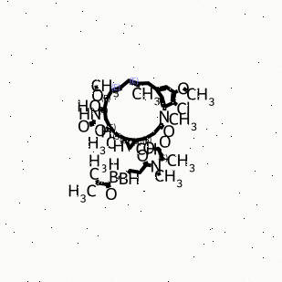 COc1cc2cc(c1Cl)N(C)C(=O)C[C@H](OC(=O)[C@H](C)N(C)C(=O)CCBBC(=O)C(C)C)[C@@]1(C)C[C@H]1[C@H](C)[C@@H]1C[C@@](O)(NC(=O)O1)[C@H](OC)/C=C/C=C(\C)C2